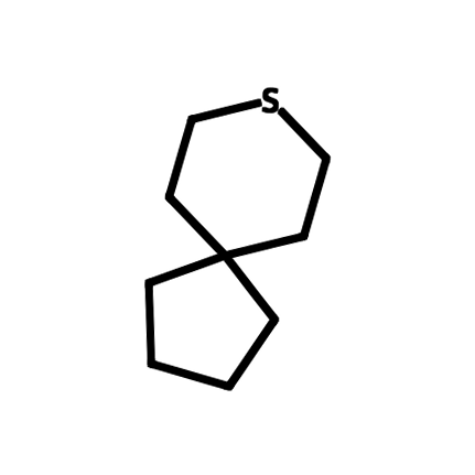 C1CCC2(C1)CCSCC2